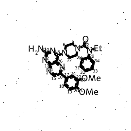 CCN(C(=O)N1CCN(c2nc(N)nc3ncc(-c4ccc(OC)c(OC)c4)nc23)CC1)c1ccccc1